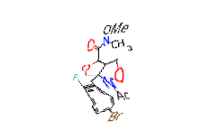 CON(C)C(=O)C1OCC2(c3cc(Br)ccc3F)C1CON2C(C)=O